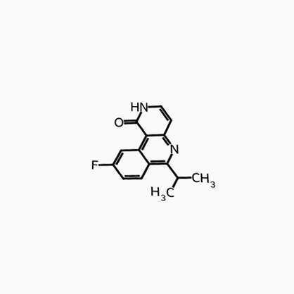 CC(C)c1nc2cc[nH]c(=O)c2c2cc(F)ccc12